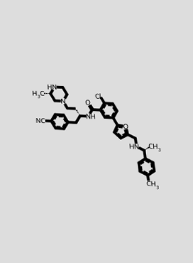 Cc1ccc([C@@H](C)NCc2ccc(-c3ccc(Cl)c(C(=O)N[C@@H](CCN4CCN[C@@H](C)C4)Cc4ccc(C#N)cc4)c3)o2)cc1